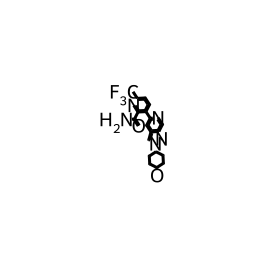 NC(=O)c1nc(C(F)(F)F)ccc1-c1cc2cn(C3CCC(=O)CC3)nc2cn1